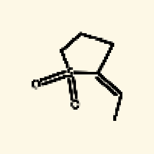 CC=C1CCCS1(=O)=O